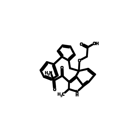 CC1NC2=CC=CC(Cc3ccccc3-c3ccccc3)(OCC(=O)O)C2=C1C(=O)C(N)=O